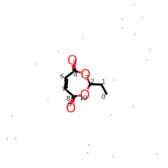 CCC1OC(=O)C=CC(=O)O1